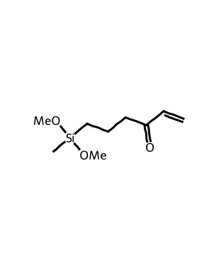 C=CC(=O)CCC[Si](C)(OC)OC